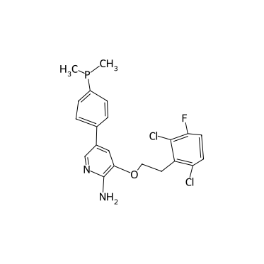 CP(C)c1ccc(-c2cnc(N)c(OCCc3c(Cl)ccc(F)c3Cl)c2)cc1